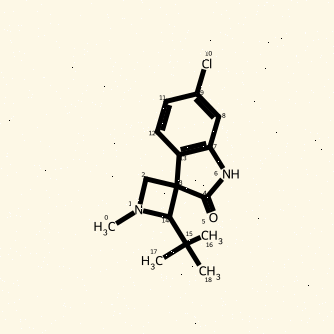 CN1CC2(C(=O)Nc3cc(Cl)ccc32)C1C(C)(C)C